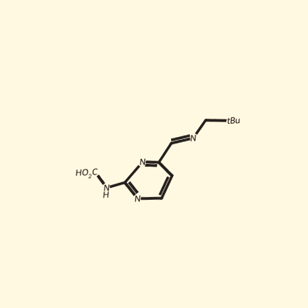 CC(C)(C)CN=Cc1ccnc(NC(=O)O)n1